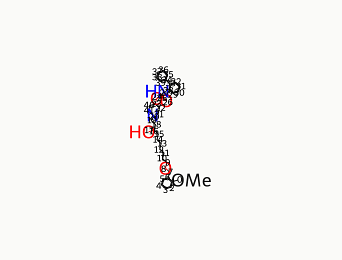 COc1ccccc1COCCCCCCCC(O)CCN1CCC(OC(=O)Nc2ccccc2-c2ccccc2)CC1